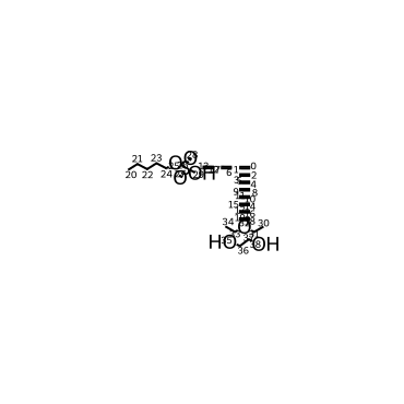 C=C.C=C.C=C.C=C.C=C.C=C.C=C.C=C.C=C.C=C.CCCCCOS(=O)(=O)O.CCOCC.OCCO